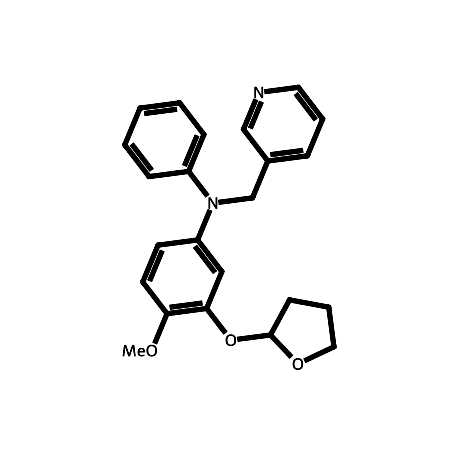 COc1ccc(N(Cc2cccnc2)c2ccccc2)cc1OC1CCCO1